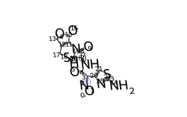 CO/N=C(/C(=O)N[C@@H]1C(=O)N2C3=C(COC3=O)CS[C@H]12)c1csc(N)n1